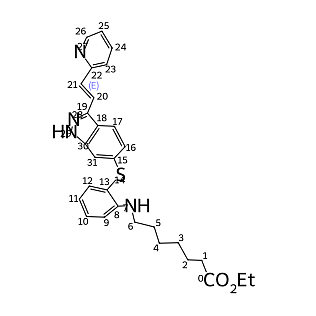 CCOC(=O)CCCCCCNc1ccccc1Sc1ccc2c(/C=C/c3ccccn3)n[nH]c2c1